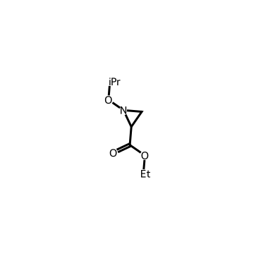 CCOC(=O)C1CN1OC(C)C